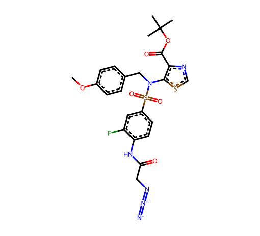 COc1ccc(CN(c2scnc2C(=O)OC(C)(C)C)S(=O)(=O)c2ccc(NC(=O)CN=[N+]=[N-])c(F)c2)cc1